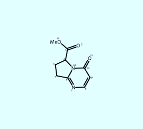 COC(=O)C1CCc2nccc(=O)n21